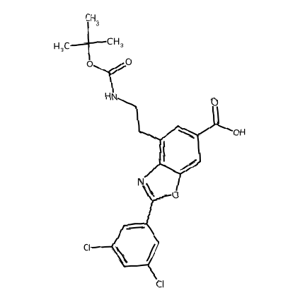 CC(C)(C)OC(=O)NCCc1cc(C(=O)O)cc2oc(-c3cc(Cl)cc(Cl)c3)nc12